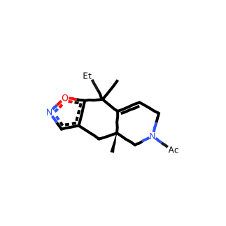 CCC1(C)C2=CCN(C(C)=O)C[C@]2(C)Cc2cnoc21